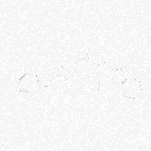 COCC1CN(S(=O)(=O)c2cc3ccc(Cl)cc3s2)CC(=O)N1Cc1nc2c(s1)CCCC2